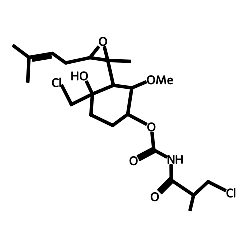 COC1C(OC(=O)NC(=O)C(C)CCl)CCC(O)(CCl)C1C1(C)OC1CC=C(C)C